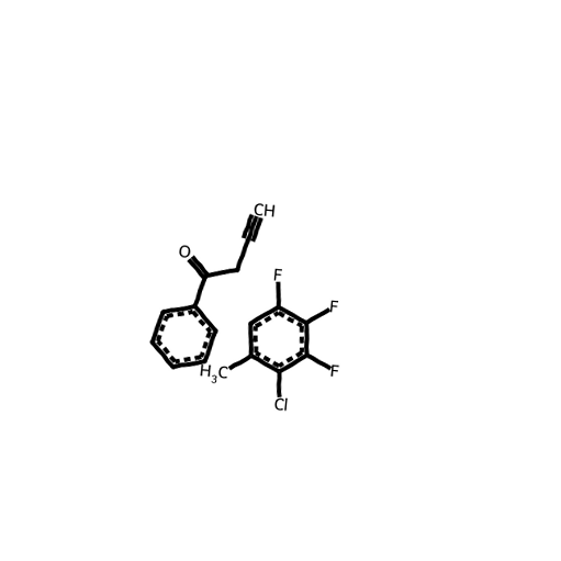 C#CCC(=O)c1ccccc1.Cc1cc(F)c(F)c(F)c1Cl